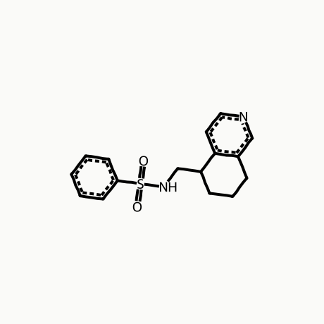 O=S(=O)(NCC1CCCc2cnccc21)c1ccccc1